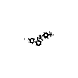 OC1CCN(c2cccc3nc(Nc4ccc(C(F)(F)F)cc4)nn23)CC1